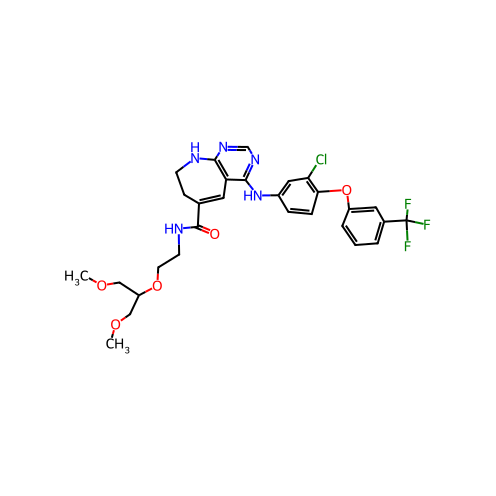 COCC(COC)OCCNC(=O)C1=Cc2c(ncnc2Nc2ccc(Oc3cccc(C(F)(F)F)c3)c(Cl)c2)NCC1